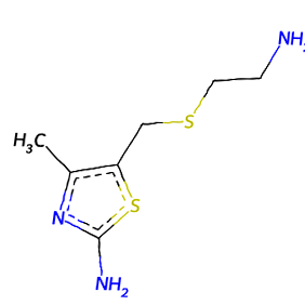 Cc1nc(N)sc1CSCCN